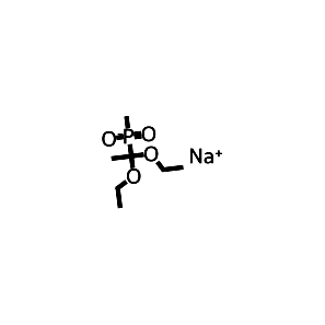 CCOC(C)(OCC)P(C)(=O)[O-].[Na+]